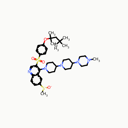 CN1CCN(C2CCN(C3CCN(c4c(S(=O)(=O)c5ccc(OC(C)(C)CC(C)(C)C)cc5)cnc5ccc([S+](C)[O-])cc45)CC3)CC2)CC1